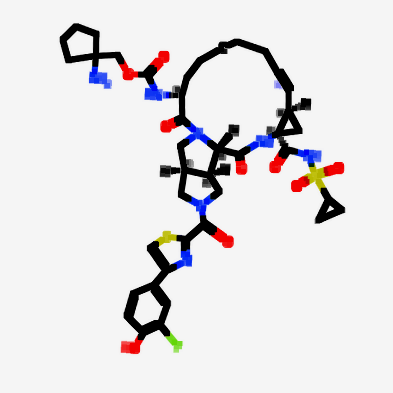 NC1(COC(=O)N[C@@H]2CCCCC/C=C\[C@H]3C[C@@]3(C(=O)NS(=O)(=O)C3CC3)NC(=O)[C@@H]3[C@H]4CN(C(=O)c5nc(-c6ccc(O)c(F)c6)cs5)C[C@H]4CN3C2=O)CCCC1